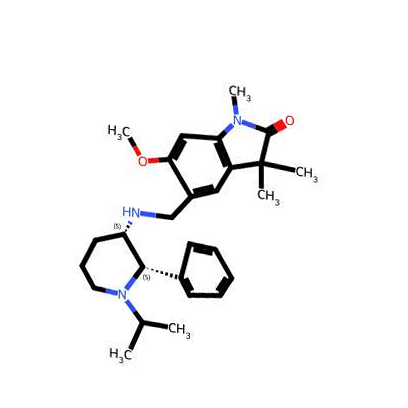 COc1cc2c(cc1CN[C@H]1CCCN(C(C)C)[C@H]1c1ccccc1)C(C)(C)C(=O)N2C